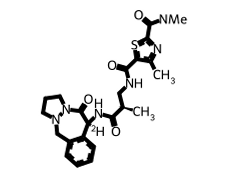 [2H][C@]1(NC(=O)[C@H](C)CNC(=O)c2sc(C(=O)NC)nc2C)C(=O)N2CCCN2Cc2ccccc21